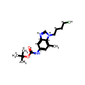 Cc1cc(NC(=O)OC(C)(C)C)cc2ncn(CCCCCl)c12